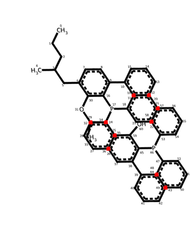 CCCC(C)Cc1ccc(-c2ccccc2)c(P(c2ccccc2)c2ccccc2)c1OC(C)Cc1ccc(-c2ccccc2)c(P(c2ccccc2)c2ccccc2)c1O